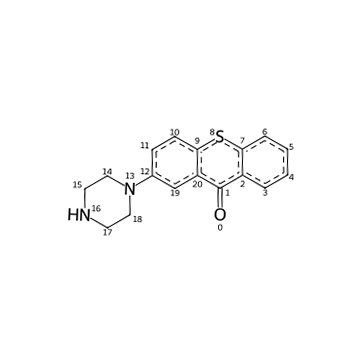 O=c1c2ccccc2sc2ccc(N3CCNCC3)cc12